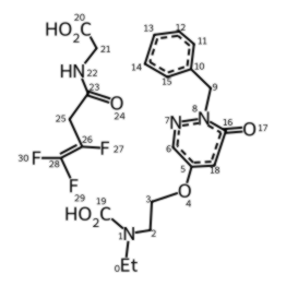 CCN(CCOc1cnn(Cc2ccccc2)c(=O)c1)C(=O)O.O=C(O)CNC(=O)CC(F)=C(F)F